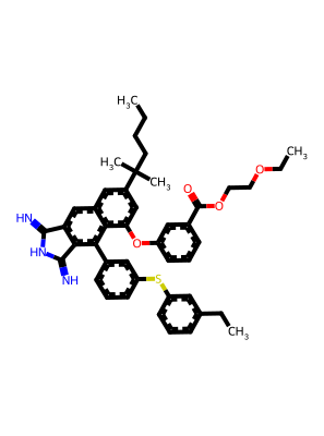 CCCCC(C)(C)c1cc(Oc2cccc(C(=O)OCCOCC)c2)c2c(-c3cccc(Sc4cccc(CC)c4)c3)c3c(cc2c1)C(=N)NC3=N